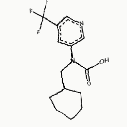 O=C(O)N(CC1CCCCC1)c1cncc(C(F)(F)F)c1